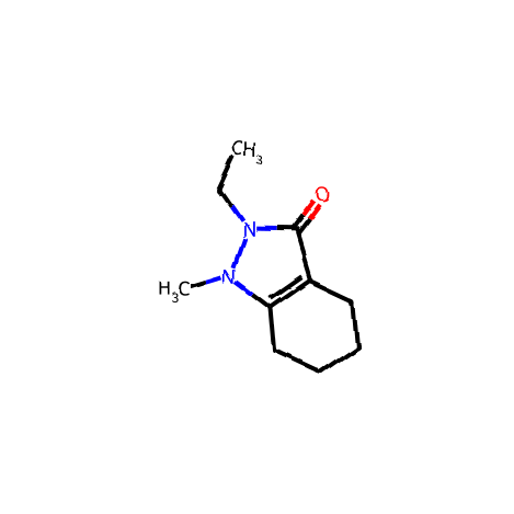 CCn1c(=O)c2c(n1C)CCCC2